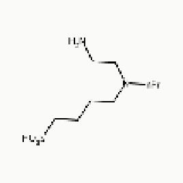 CCCN(CCN)CCCCS(=O)(=O)O